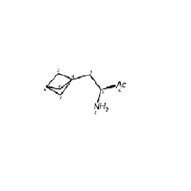 CC(=O)[C@@H](N)CC12CC(C1)C2